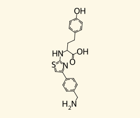 NCc1ccc(-c2csc(NC(CCc3ccc(O)cc3)C(=O)O)n2)cc1